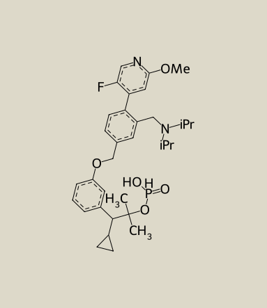 COc1cc(-c2ccc(COc3cccc(C(C4CC4)C(C)(C)O[PH](=O)O)c3)cc2CN(C(C)C)C(C)C)c(F)cn1